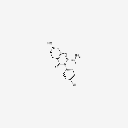 CC(N)c1nc2cc(O)ccc2c(=O)n1-c1ccc(Cl)cc1